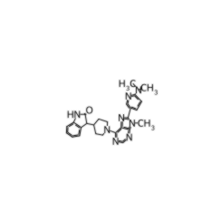 CN(C)c1ccc(-c2nc3c(N4CCC(C5C(=O)Nc6ccccc65)CC4)ncnc3n2C)cn1